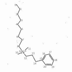 CCCCCCCCC[N+](C)(C)CCCc1ccccc1